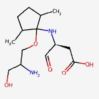 CC1CCC(C)C1(N[C@H](C=O)CC(=O)O)OCC(N)CO